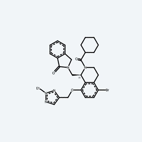 CCn1ncc(COc2ccc(Br)c3c2[C@@H](CN2Cc4ccccc4C2=O)N(C(=O)C2CCCCC2)CC3)n1